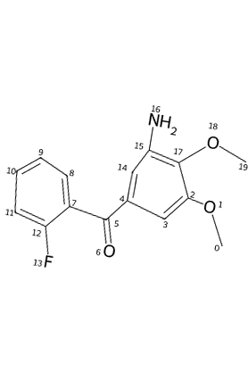 COc1cc(C(=O)c2ccccc2F)cc(N)c1OC